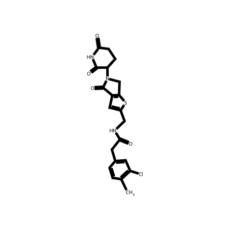 Cc1ccc(CC(=O)NCc2cc3c(s2)CN(C2CCC(=O)NC2=O)C3=O)cc1Cl